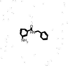 Nc1cccc(C(=O)NCc2ccccc2)c1